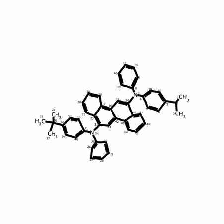 CC(C)c1ccc(N(c2ccccc2)c2cc3c4ccccc4c(N(c4ccccc4)c4ccc(C(C)(C)C)cc4)cc3c3ccccc23)cc1